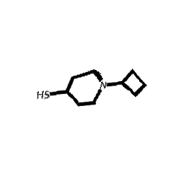 SC1CCN(C2CCC2)CC1